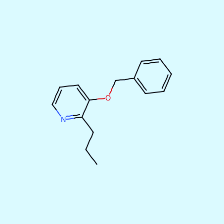 CCCc1ncccc1OCc1ccccc1